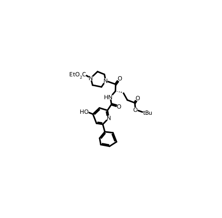 CCOC(=O)N1CCN(C(=O)[C@H](CCC(=O)OC(C)(C)C)NC(=O)c2cc(O)cc(-c3ccccc3)n2)CC1